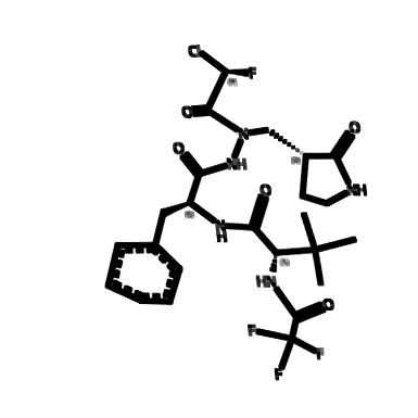 CC(C)(C)[C@H](NC(=O)C(F)(F)F)C(=O)N[C@@H](Cc1ccccc1)C(=O)NN(C[C@H]1CCNC1=O)C(=O)[C@H](F)Cl